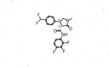 CN1C[C@H](c2ccc(C(F)F)cc2)[C@@H](C(=O)Nc2ccc(F)c(F)c2F)C1=O